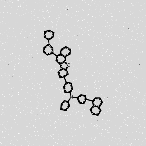 c1ccc(-c2cccc(-c3cc4c5ccc(-c6ccc(N(c7ccccc7)c7ccc(-c8cccc9ccccc89)cc7)cc6)cc5oc4c4ccccc34)c2)cc1